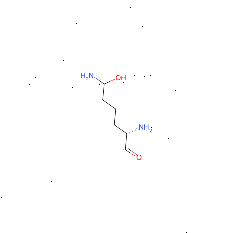 NC(O)CCC[C@H](N)[C]=O